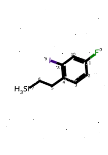 Fc1ccc(CC[SiH3])c(I)c1